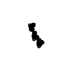 CP1(=O)Oc2cccc3cc(-c4ccc5c(c4)P(C)(=O)Oc4cc(-c6ccc(P(C)(=O)c7ccccc7)cc6)ccc4-5)cc(c23)O1